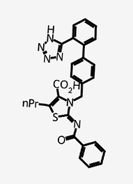 CCCc1sc(=NC(=O)c2ccccc2)n(Cc2ccc(-c3ccccc3-c3nnn[nH]3)cc2)c1C(=O)O